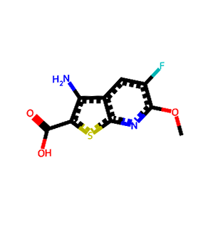 COc1nc2sc(C(=O)O)c(N)c2cc1F